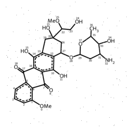 COc1cccc2c1C(=O)c1c(O)c3c(c(O)c1C2=O)CC(O)(C(CO)OC)CC3OC1CC(N)C(O)C(C)O1